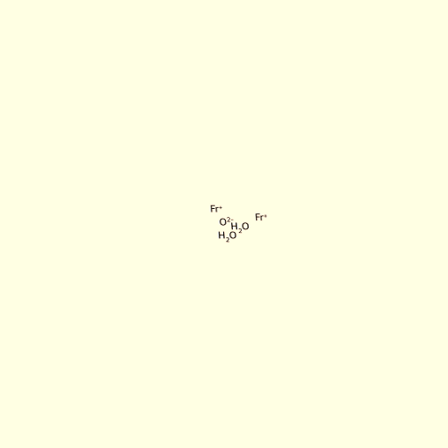 O.O.[Fr+].[Fr+].[O-2]